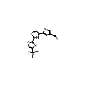 N#Cc1csc(-c2c[c]nc(-c3nc(C(F)(F)F)cs3)n2)c1